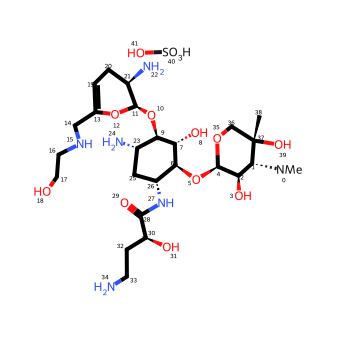 CN[C@@H]1[C@@H](O)[C@@H](O[C@@H]2[C@@H](O)[C@H](O[C@H]3OC(CNCCO)=CC[C@H]3N)[C@@H](N)C[C@H]2NC(=O)[C@@H](O)CCN)OC[C@]1(C)O.O=S(=O)(O)O